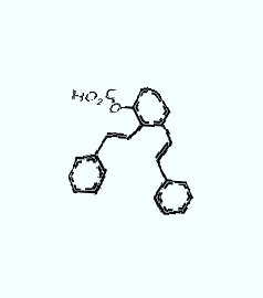 O=C(O)Oc1cccc(C=Cc2ccccc2)c1C=Cc1ccccc1